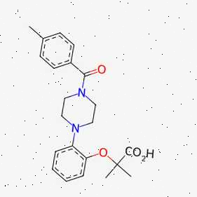 Cc1ccc(C(=O)N2CCN(c3ccccc3OC(C)(C)C(=O)O)CC2)cc1